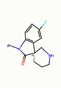 CC(C)N1C(=O)[C@@]2(CCCNC2)c2cc(F)ccc21